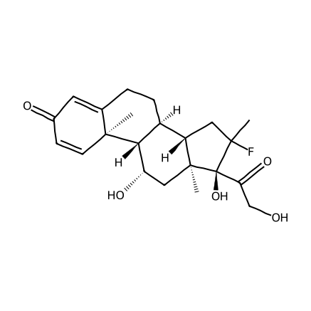 CC1(F)C[C@H]2[C@@H]3CCC4=CC(=O)C=C[C@]4(C)[C@H]3[C@@H](O)C[C@]2(C)[C@@]1(O)C(=O)CO